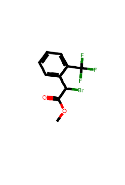 COC(=O)C(Br)c1ccccc1C(F)(F)F